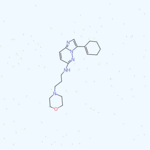 C1=C(c2cnc3ccc(NCCCN4CCOCC4)nn23)CCCC1